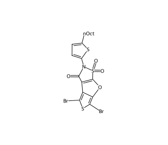 CCCCCCCCc1ccc(N2C(=O)c3c(oc4c(Br)sc(Br)c34)S2(=O)=O)s1